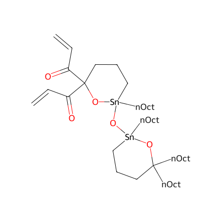 C=CC(=O)C1(C(=O)C=C)CC[CH2][Sn]([CH2]CCCCCCC)([O][Sn]2([CH2]CCCCCCC)[CH2]CCC(CCCCCCCC)(CCCCCCCC)[O]2)[O]1